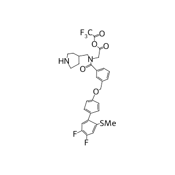 CSc1cc(F)c(F)cc1-c1ccc(OCc2cccc(C(=O)N(CC(=O)OC(=O)C(F)(F)F)CC3CCNCC3)c2)cc1